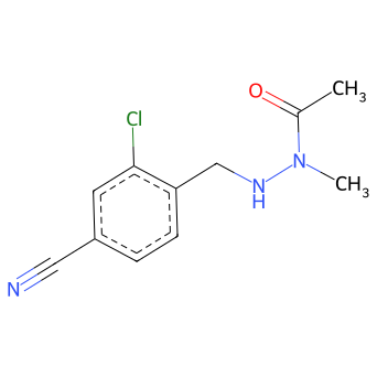 CC(=O)N(C)NCc1ccc(C#N)cc1Cl